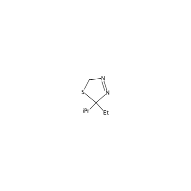 CCC1(C(C)C)N=NCS1